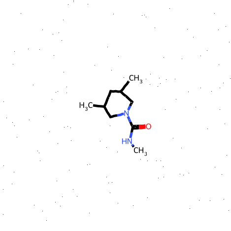 CNC(=O)N1CC(C)CC(C)C1